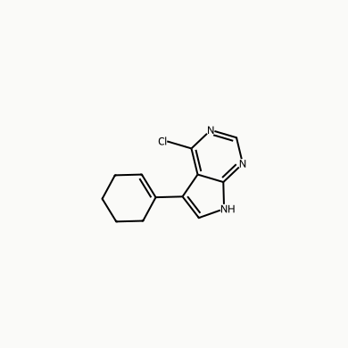 Clc1ncnc2[nH]cc(C3=CCCCC3)c12